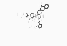 C=CC(=O)N1CCN(C2NC(OCC3CCCN3C)NC3C[C@@]4(CCC32)Cc2ccccc2C(Cl)C4)CC1CC#N